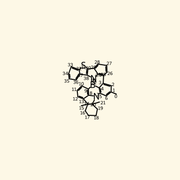 Cc1cc2c3c(c1)N1c4c(cccc4C4(C)CCCCC14C)B3n1c3c-2cccc3c2sc3ccccc3c21